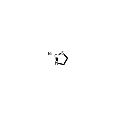 [Br-].[C+]1=NCCS1